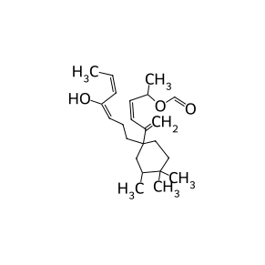 C=C(/C=C\C(C)OC=O)C1(CC/C=C(O)\C=C/C)CCC(C)(C)C(C)C1